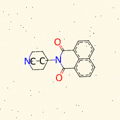 O=C1c2cccc3cccc(c23)C(=O)N1C12CCN(CC1)CC2